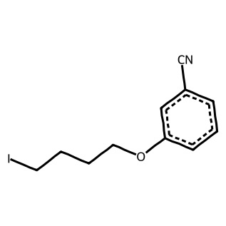 N#Cc1cccc(OCCCCI)c1